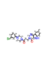 Cc1ccc2[nH]c3c(=O)n(CCC(=O)N4CCN(c5cccc(Br)c5)CC4)cnc3c2c1